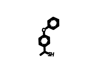 CC(S)c1ccc(Oc2ccccc2)cc1